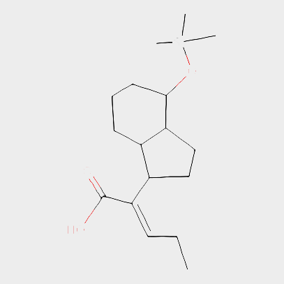 CC/C=C(/C(=O)O)C1CCC2C(O[Si](C)(C)C)CCC[C@]12C